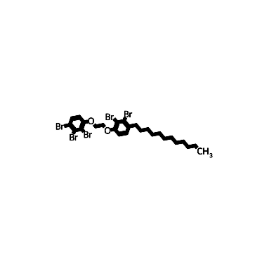 CCCCCCCCCCCCc1ccc(OCCOc2ccc(Br)c(Br)c2Br)c(Br)c1Br